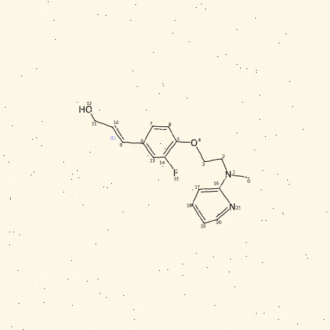 CN(CCOc1ccc(/C=C/CO)cc1F)c1ccccn1